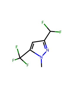 Cn1nc(C(F)F)cc1C(F)(F)F